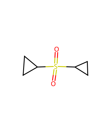 O=S(=O)(C1CC1)C1CC1